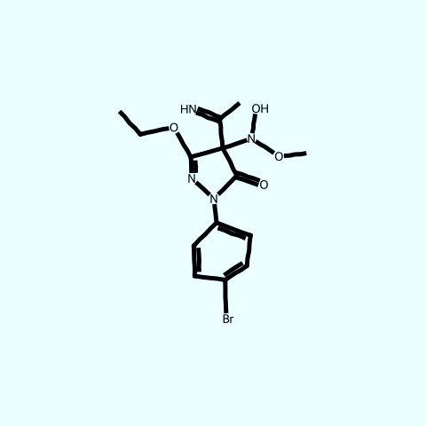 CCOC1=NN(c2ccc(Br)cc2)C(=O)C1(C(C)=N)N(O)OC